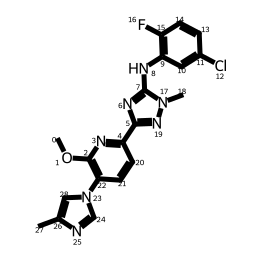 COc1nc(-c2nc(Nc3cc(Cl)ccc3F)n(C)n2)ccc1-n1cnc(C)c1